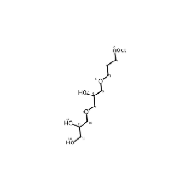 CCCCCCCCCCCOCC(O)COCC(O)CO